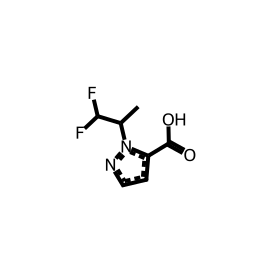 CC(C(F)F)n1nccc1C(=O)O